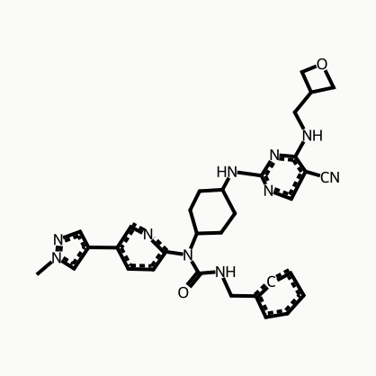 Cn1cc(-c2ccc(N(C(=O)NCc3ccccc3)C3CCC(Nc4ncc(C#N)c(NCC5COC5)n4)CC3)nc2)cn1